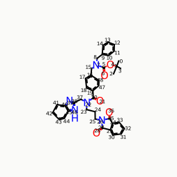 CC(C)(C)OC(=O)N(Cc1ccccc1)Cc1ccc(C(=O)N(CCCN2C(=O)c3ccccc3C2=O)Cc2nc3ccccc3[nH]2)cc1